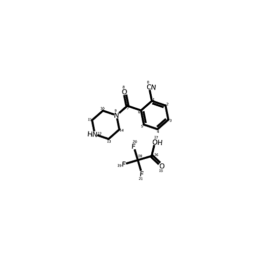 N#Cc1ccccc1C(=O)N1CCNCC1.O=C(O)C(F)(F)F